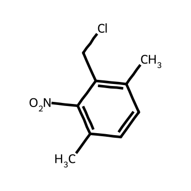 Cc1ccc(C)c([N+](=O)[O-])c1CCl